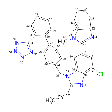 CCCc1nc2c(Cl)cc(-c3nc4ccccc4n3C)cc2n1Cc1ccc(-c2ccccc2-c2nnn[nH]2)cc1